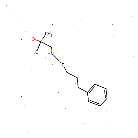 CC(C)([O])CNCCCCc1ccccc1